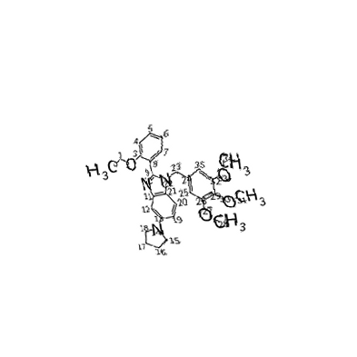 CCOc1ccccc1-c1nc2cc(N3CCCC3)ccc2n1Cc1cc(OC)c(OC)c(OC)c1